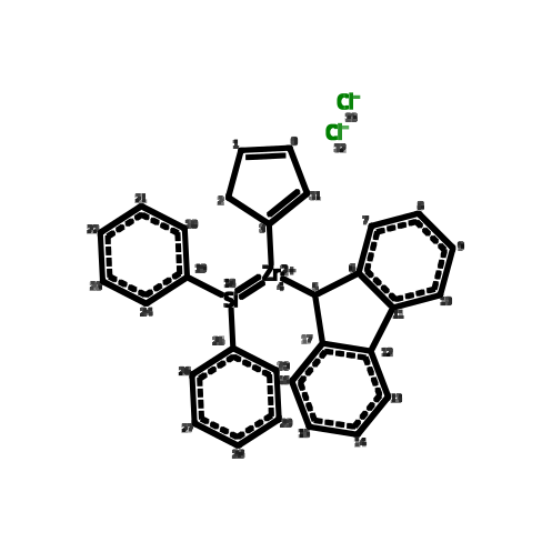 C1=CC[C]([Zr+2]([CH]2c3ccccc3-c3ccccc32)=[Si](c2ccccc2)c2ccccc2)=C1.[Cl-].[Cl-]